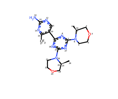 C[C@H]1COCCN1c1nc(-c2cnc(N)nc2C(F)(F)F)nc(N2CCOC[C@@H]2C)n1